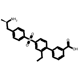 CCc1cc(S(=O)(=O)c2ccc(C[C@@H](C)N)cc2)ccc1-c1cccc(C(=O)O)c1